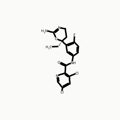 CC[C@@]1(c2cc(NC(=O)c3ncc(Cl)cc3Cl)ccc2F)CCN=C(N)O1